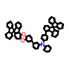 C1=CC2c3ccccc3C3(c4ccccc4-c4c3ccc3c4Oc4ccc(-c5cccc(N(c6ccccc6)c6ccc(-c7cccc8c7-c7ccccc7C87c8ccccc8-c8ccccc87)cc6)c5)cc4O3)C2C=C1